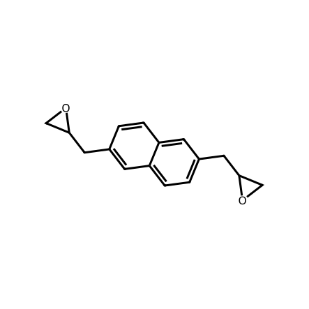 c1cc2cc(CC3CO3)ccc2cc1CC1CO1